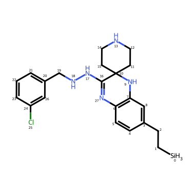 [SiH3]CCc1ccc2c(c1)NC1(CCNCC1)C(NNCc1cccc(Cl)c1)=N2